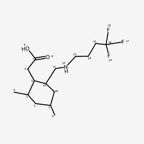 CC1CC(C)C(CC(=O)O)C(CNCCCC(F)(F)F)C1